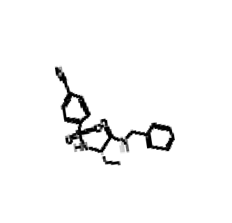 CC[C@H](NS(=O)(=O)c1ccc(C#N)cc1)C(=O)NCc1ccccc1